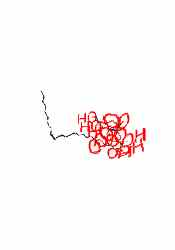 CCCCCCCC/C=C\CCCCCCCC(=O)OC[C@H]1OC(OC2=C(O)[C@@H]([C@@H](O)CO)OC2=O)[C@H](O)[C@@H](O)[C@@H]1O